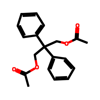 CC(=O)OCC(COC(C)=O)(c1ccccc1)c1ccccc1